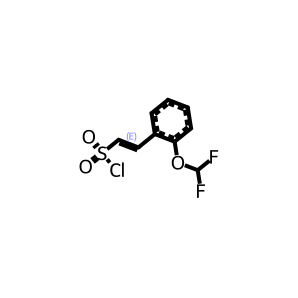 O=S(=O)(Cl)/C=C/c1ccccc1OC(F)F